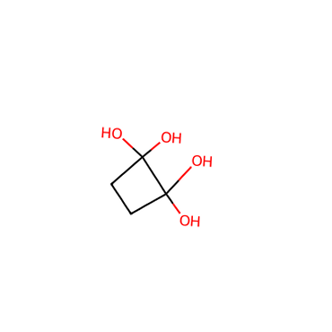 OC1(O)CCC1(O)O